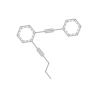 CCCC#Cc1ccccc1C#Cc1ccccc1